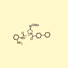 CON=C1C[C@@H](CC(=O)Nc2ccccc2N)N(C(=O)c2ccc(-c3ccccc3)cc2)C1